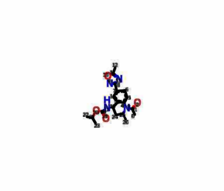 CC(=O)N1c2ccc(-c3noc(C)n3)cc2[C@H](NC(=O)OC(C)C)C[C@@H]1C